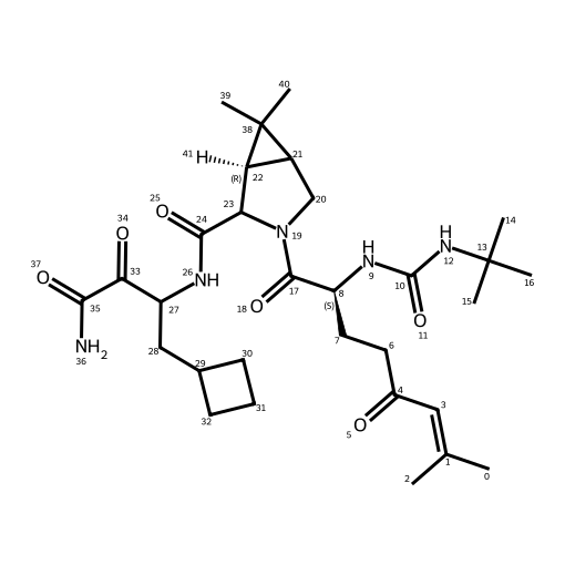 CC(C)=CC(=O)CC[C@H](NC(=O)NC(C)(C)C)C(=O)N1CC2[C@@H](C1C(=O)NC(CC1CCC1)C(=O)C(N)=O)C2(C)C